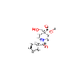 COC(=O)C1(CO)CCN(C(=O)c2ccccc2)CC1